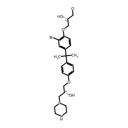 CC(C)(c1ccc(OC[C@H](O)CN2CCNCC2)cc1)c1ccc(OC[C@H](O)CCl)c(Br)c1